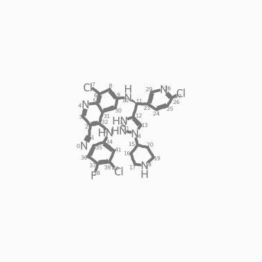 N#Cc1cnc2c(Cl)cc(N[C@H](C3=CN(C4CCNCC4)NN3)c3ccc(Cl)nc3)cc2c1Nc1ccc(F)c(Cl)c1